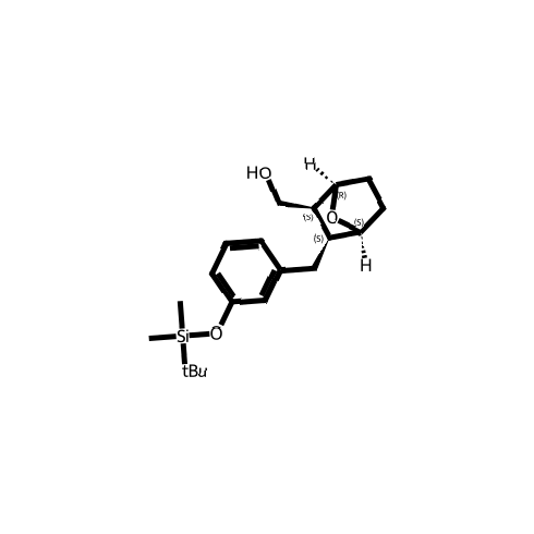 CC(C)(C)[Si](C)(C)Oc1cccc(C[C@H]2[C@@H](CO)[C@H]3CC[C@@H]2O3)c1